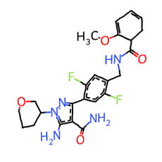 COC1=CC=CCC1C(=O)NCc1cc(F)c(-c2nn(C3CCCOC3)c(N)c2C(N)=O)cc1F